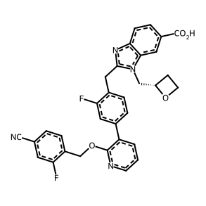 N#Cc1ccc(COc2ncccc2-c2ccc(Cc3nc4ccc(C(=O)O)cc4n3C[C@@H]3CCO3)c(F)c2)c(F)c1